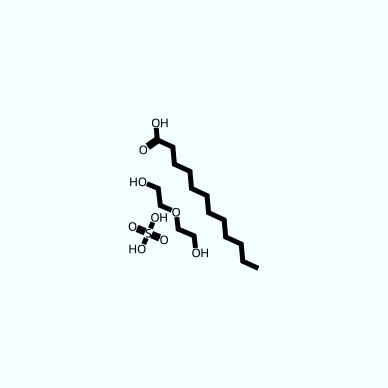 CCCCCCCCCCCC(=O)O.O=S(=O)(O)O.OCCOCCO